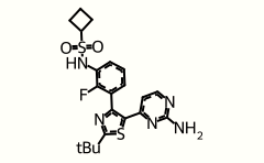 CC(C)(C)c1nc(-c2cccc(NS(=O)(=O)C3CCC3)c2F)c(-c2ccnc(N)n2)s1